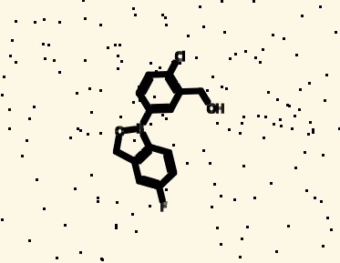 OCc1cc(B2OCc3cc(F)ccc32)ccc1Cl